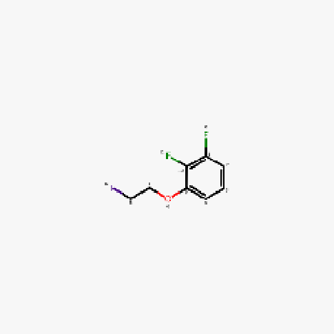 Fc1cccc(OCCI)c1F